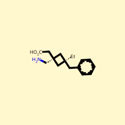 CC[C@]1(Cc2ccccc2)C[C@@](CN)(CC(=O)O)C1